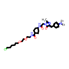 CCN(CC)c1ccc(/C=C2\N=C(C)N(CC(=O)NC3CCC(C(=O)NCCOCCOCCCCCCCl)CC3)C2=O)cc1